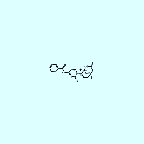 O=C1C[C@@H]2CC[C@@H](n3ccc(NC(=O)c4ccccc4)nc3=O)[C@@H](C2)N1